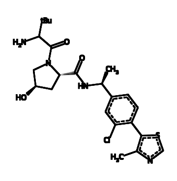 Cc1ncsc1-c1ccc([C@H](C)NC(=O)[C@@H]2C[C@@H](O)CN2C(=O)C(N)C(C)(C)C)cc1Cl